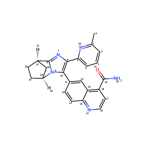 Cc1cccc(-c2nc3n(c2-c2ccc4nccc(C(N)=O)c4c2)[C@H]2CC[C@@H]3C2)n1